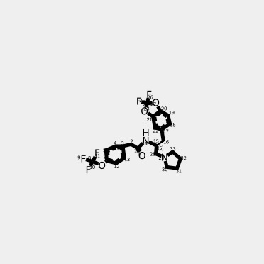 O=C(Cc1ccc(OC(F)(F)F)cc1)N[C@@H](Cc1ccc2c(c1)OC(F)(F)O2)CN1CCCC1